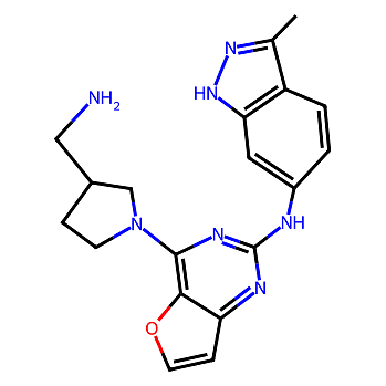 Cc1n[nH]c2cc(Nc3nc(N4CCC(CN)C4)c4occc4n3)ccc12